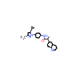 CC(C(=O)Nc1ccc(-n2nc(C(F)(F)F)cc2C2CC2)cc1)c1ccc2ncccc2c1